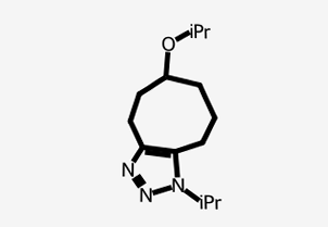 CC(C)OC1CCCc2c(nnn2C(C)C)CC1